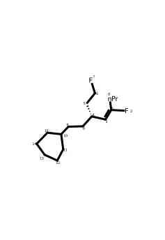 CCC/C(F)=C\[C@@H](CCF)CCC1CCCCC1